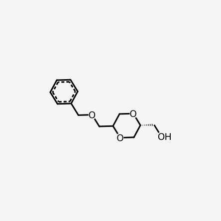 OC[C@@H]1COC(COCc2ccccc2)CO1